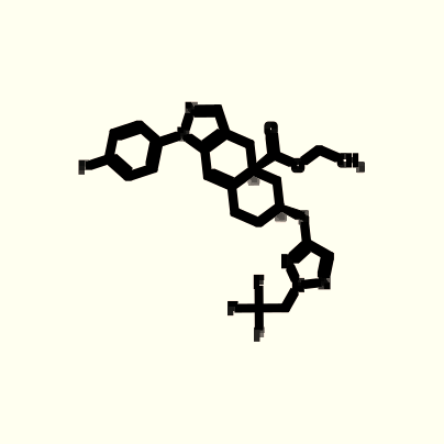 CCOC(=O)[C@]12Cc3cnn(-c4ccc(F)cc4)c3C=C1CC[C@H](Sc1cnn(CC(F)(F)F)n1)C2